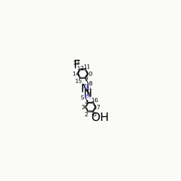 Oc1ccc(/C=N/N=C/c2ccc(F)cc2)cc1